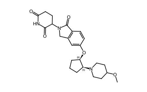 COC1CCN([C@H]2CCC[C@H]2Oc2ccc3c(c2)CN(C2CCC(=O)NC2=O)C3=O)CC1